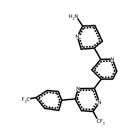 Nc1ccc(-c2cc(-c3nc(-c4ccc(C(F)(F)F)cc4)cc(C(F)(F)F)n3)ccn2)cn1